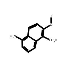 O=C(O)c1c(OI)ccc2c([N+](=O)[O-])cccc12